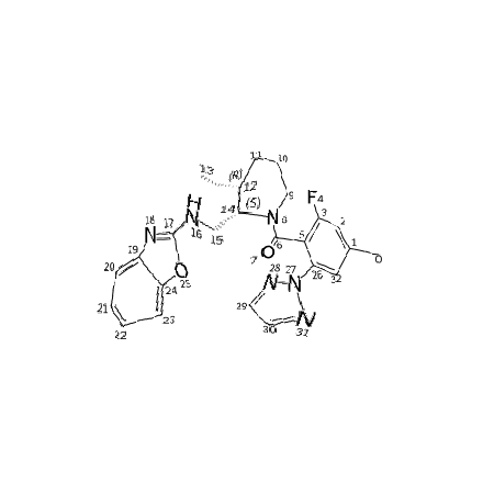 Cc1cc(F)c(C(=O)N2CCC[C@@H](C)[C@H]2CNc2nc3ccccc3o2)c(-n2nccn2)c1